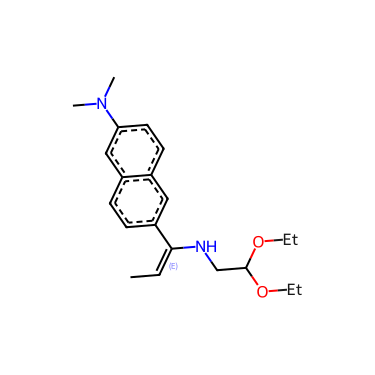 C/C=C(/NCC(OCC)OCC)c1ccc2cc(N(C)C)ccc2c1